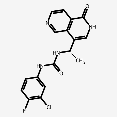 C[C@H](NC(=O)Nc1ccc(F)c(Cl)c1)c1c[nH]c(=O)c2ccncc12